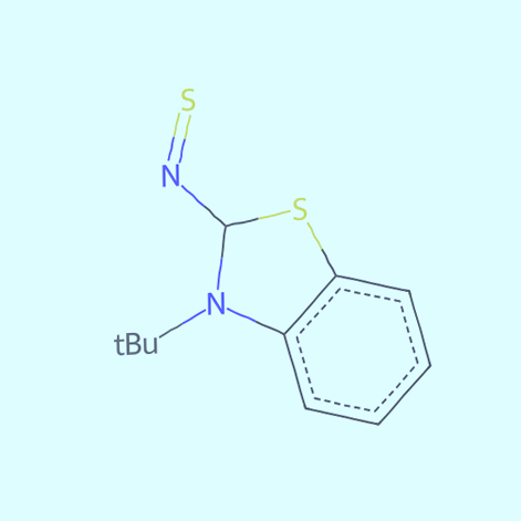 CC(C)(C)N1c2ccccc2SC1N=S